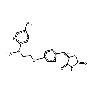 CN(CCOc1ccc(/C=C2/SC(=O)NC2=O)cc1)c1ccc(N)cn1